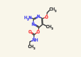 CCNC(=O)Oc1nc(N)nc(OCC)c1C